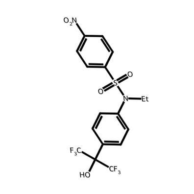 CCN(c1ccc(C(O)(C(F)(F)F)C(F)(F)F)cc1)S(=O)(=O)c1ccc([N+](=O)[O-])cc1